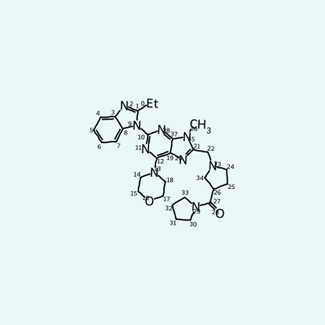 CCc1nc2ccccc2n1-c1nc(N2CCOCC2)c2nc(CN3CCC(C(=O)N4CCCC4)C3)n(C)c2n1